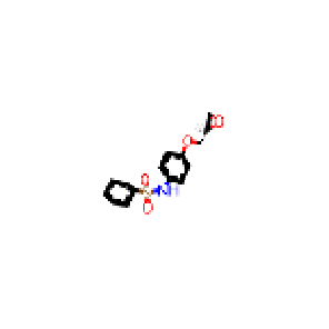 O=S(=O)(Nc1ccc(OC[C@@H]2CO2)cc1)c1ccccc1